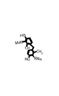 CNc1c(O)ccc(Cc2ccc(O)c(NC)c2C)c1C